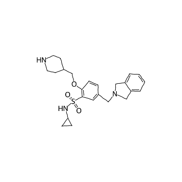 O=S(=O)(NC1CC1)c1cc(CN2Cc3ccccc3C2)ccc1OCC1CCNCC1